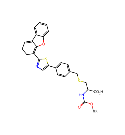 CC(C)(C)OC(=O)NC(CSCc1ccc(-c2cnc(C3=c4oc5ccccc5c4=CCC3)s2)cc1)C(=O)O